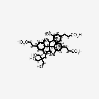 CCCC(c1c(C(C)(C)C)cc(CCC(=O)O)cc1C(C)(C)C)C(C(=S)OCC(CO)(CO)CO)(c1c(C(C)(C)C)cc(CCC(=O)O)cc1C(C)(C)C)c1c(C(C)(C)C)cc(CCC(=O)O)cc1C(C)(C)C